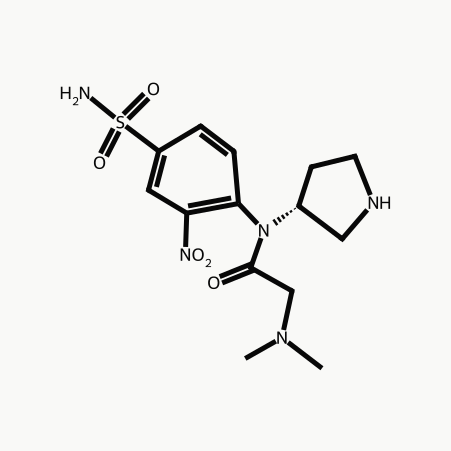 CN(C)CC(=O)N(c1ccc(S(N)(=O)=O)cc1[N+](=O)[O-])[C@@H]1CCNC1